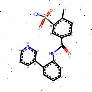 Cc1ccc(C(=O)Nc2ccccc2-c2cccnc2)cc1S(N)(=O)=O